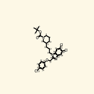 CC(C)(C)OC(=O)N1CCCC(CCCn2c(COc3ccc(Cl)cc3)nc3cc(Cl)c(Cl)cc32)C1